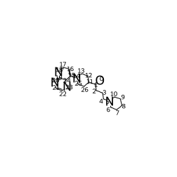 O=C(CCCN1CCCCC1)C1CCN(c2ccnc3nccnc23)CC1